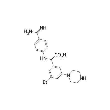 CCc1cc(C(Nc2ccc(C(=N)N)cc2)C(=O)O)cc(N2CCNCC2)c1